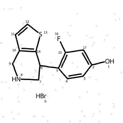 Br.Oc1ccc(C2CNCc3ccsc32)c(F)c1